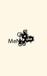 CNC(=O)NC(=O)C(CC1CCCCO1)c1ccc(Cl)c(Cl)c1